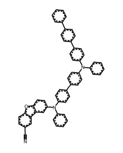 N#Cc1ccc2oc3ccc(N(c4ccccc4)c4ccc(-c5ccc(N(c6ccccc6)c6ccc(-c7ccc(-c8ccccc8)cc7)cc6)cc5)cc4)cc3c2c1